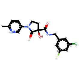 Cc1ccc(N2CCC(O)(C(=O)NCc3cc(F)cc(Cl)c3)C2=O)cn1